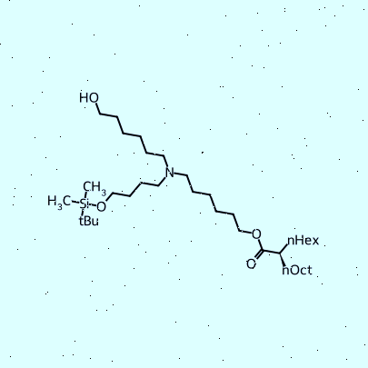 CCCCCCCC[C@H](CCCCCC)C(=O)OCCCCCCN(CCCCCCO)CCCCO[Si](C)(C)C(C)(C)C